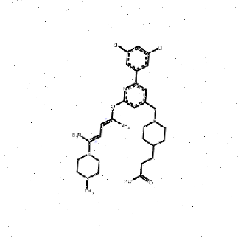 CN1CCN(/C(N)=C/C=C(\N)Oc2cc(CN3CCC(CCC(=O)O)CC3)cc(-c3cc(Cl)cc(Cl)c3)n2)CC1